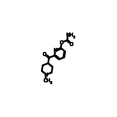 CN1CCC(C(=O)c2cccc(OC(N)=O)n2)CC1